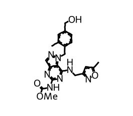 COC(=O)Nc1nc(NCc2cc(C)on2)c2c(cnn2Cc2ccc(CO)cc2C)n1